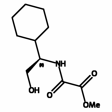 COC(=O)C(=O)N[C@@H](CO)C1CCCCC1